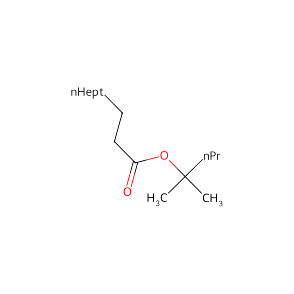 CCCCCCCCCC(=O)OC(C)(C)CCC